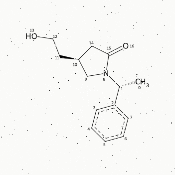 C[C@H](c1ccccc1)N1C[C@@H](CCO)CC1=O